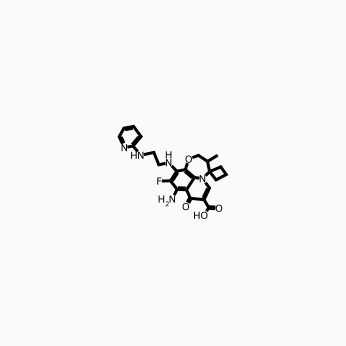 CC1COc2c(NCCNc3ccccn3)c(F)c(N)c3c(=O)c(C(=O)O)cn(c23)C12CCC2